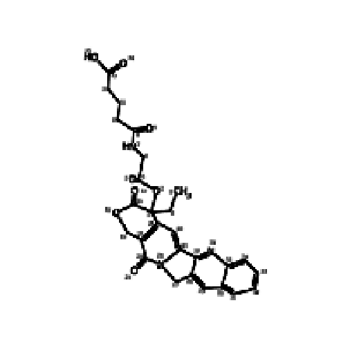 CCC1(OC(=O)CNC(=O)CCCC(=O)O)C(=O)OCc2c1cc1n(c2=O)Cc2cc3ccccc3nc2-1